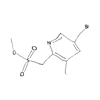 COS(=O)(=O)Cc1ncc(Br)cc1C